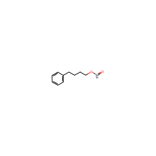 [O]=[SnH][O]CCCCc1ccccc1